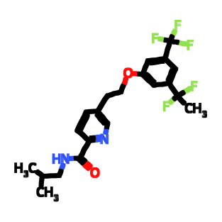 CC(C)CNC(=O)c1ccc(CCOc2cc(C(C)(F)F)cc(C(F)(F)F)c2)cn1